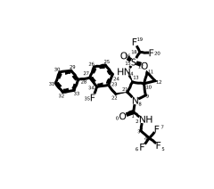 O=C(NCC(F)(F)F)N1CC2(CC2)[C@H](NS(=O)(=O)C(F)F)[C@@H]1Cc1cccc(-c2ccccc2)c1F